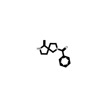 C=C1NCCC12CCN(C(=O)c1ccccc1)C2